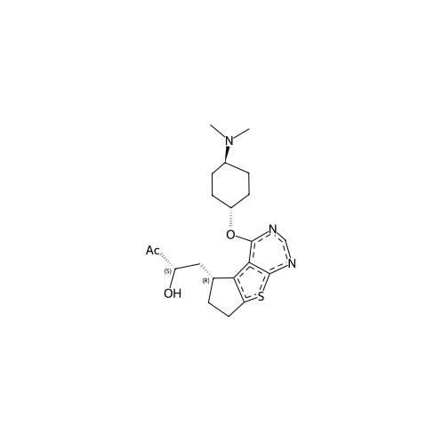 CC(=O)[C@@H](O)C[C@H]1CCc2sc3ncnc(O[C@H]4CC[C@H](N(C)C)CC4)c3c21